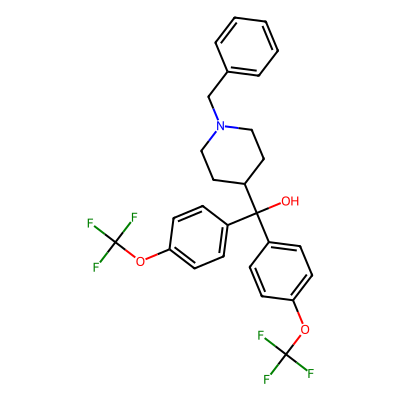 OC(c1ccc(OC(F)(F)F)cc1)(c1ccc(OC(F)(F)F)cc1)C1CCN(Cc2ccccc2)CC1